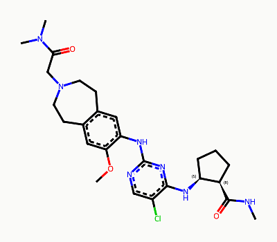 CNC(=O)[C@@H]1CCC[C@@H]1Nc1nc(Nc2cc3c(cc2OC)CCN(CC(=O)N(C)C)CC3)ncc1Cl